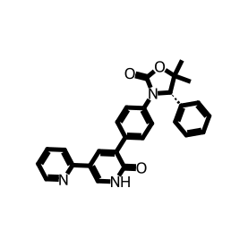 CC1(C)OC(=O)N(c2ccc(-c3cc(-c4ccccn4)c[nH]c3=O)cc2)[C@H]1c1ccccc1